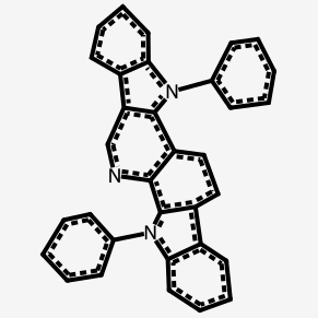 c1ccc(-n2c3ccccc3c3cnc4c(ccc5c6ccccc6n(-c6ccccc6)c54)c32)cc1